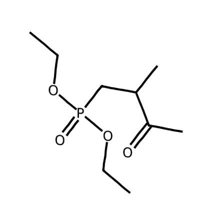 CCOP(=O)(CC(C)C(C)=O)OCC